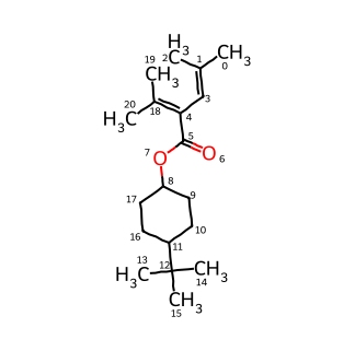 CC(C)=CC(C(=O)OC1CCC(C(C)(C)C)CC1)=C(C)C